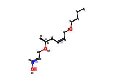 CCCCOC/C=C\C[C@H](C)OC/C=N/O